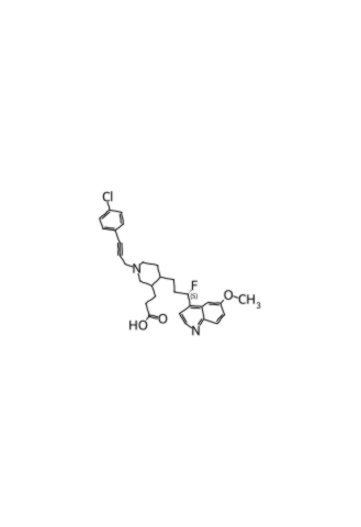 COc1ccc2nccc([C@@H](F)CCC3CCN(CC#Cc4ccc(Cl)cc4)CC3CCC(=O)O)c2c1